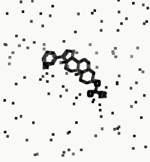 CCC(=O)OC1CCC2(C)C(=CCC3C2CCC2(C)C(c4cccnc4)=CCC32)C1